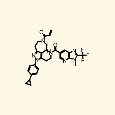 C=CC(=O)N1CCc2nn(-c3ccc(C4CC4)cc3)c3c2[C@H](C1)N(C(=O)c1cnc2[nH]c(C(F)(F)F)nc2c1)CC3